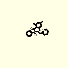 Cc1cc(C)c(C(=O)P(=O)(CCc2ccccn2)c2ccccc2)c(C)c1